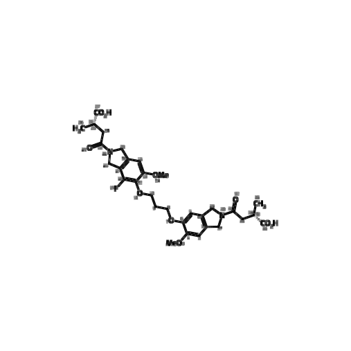 COc1cc2c(cc1OCCCOc1c(OC)cc3c(c1F)CN(C(=O)C[C@H](C)C(=O)O)C3)CN(C(=O)C[C@H](C)C(=O)O)C2